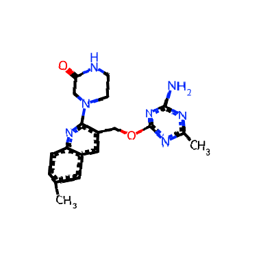 Cc1ccc2nc(N3CCNC(=O)C3)c(COc3nc(C)nc(N)n3)cc2c1